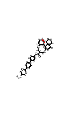 CC1COC(c2ccc(-c3ccc(OC(=O)C4COc5ccc6c(c5-c5c(ccc7c5CCCC7)OC4)CCCC6)cc3)cc2)OC1